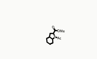 COC(=O)C1CC2CCCCC2N1C(C)=O